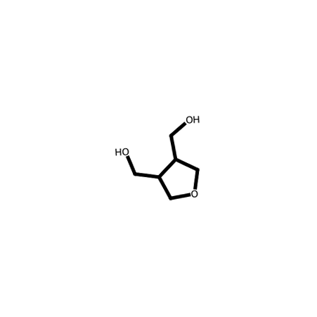 OCC1COCC1CO